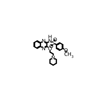 COc1ccc(S(=O)(=O)Nc2nc3ccccc3nc2OCCN2CCCCC2)cc1